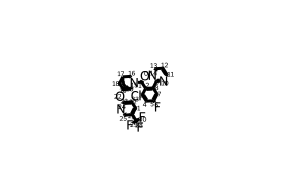 O=C(c1ccc(F)cc1-c1ncccn1)N1CC2CCC1C(Oc1ncc(C(F)(F)F)cc1Cl)C2